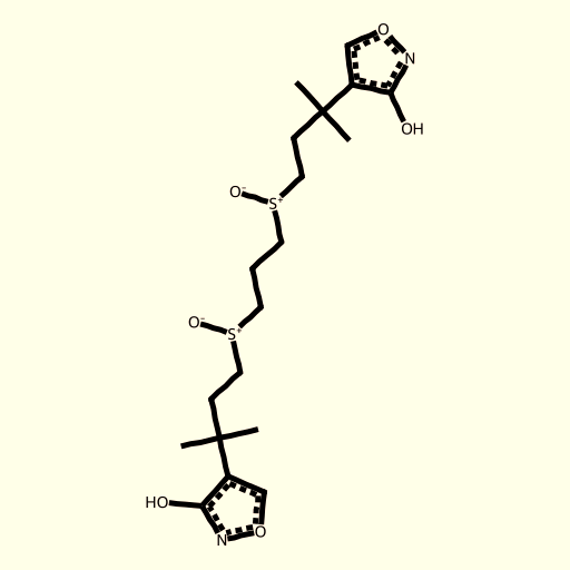 CC(C)(CC[S+]([O-])CCC[S+]([O-])CCC(C)(C)c1conc1O)c1conc1O